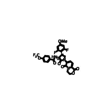 COc1cc(F)c([C@@H]2CN(c3ccc4n(c3=O)CCOC4=O)C(=O)[C@H]2NC(=O)c2ccc(OC(F)(F)F)cc2)c(F)c1